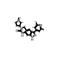 Cc1cc(-c2n[nH]c3cc4c(cc23)CN(C2CCN(C)C2)C(=O)N4)cc(C)n1